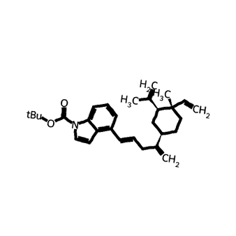 C=C[C@]1(C)CC[C@@H](C(=C)C/C=C/c2cccc3c2ccn3C(=O)OC(C)(C)C)C[C@H]1C(=C)C